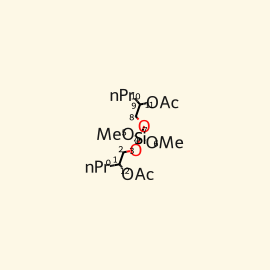 CCCC(CO[Si](OC)(OC)OCC(CCC)OC(C)=O)OC(C)=O